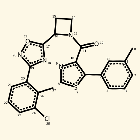 Cc1cccc(-c2scnc2C(=O)N2CCC2c2nc(-c3cccc(Cl)c3C)no2)c1